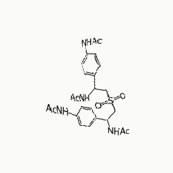 CC(=O)Nc1ccc(C(CS(=O)(=O)CC(NC(C)=O)c2ccc(NC(C)=O)cc2)NC(C)=O)cc1